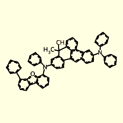 CC1(C)c2cc(N(c3ccccc3)c3cccc4c3oc3c(-c5ccccc5)cccc34)ccc2-c2cc3ccc(N(c4ccccc4)c4ccccc4)cc3c3cccc1c23